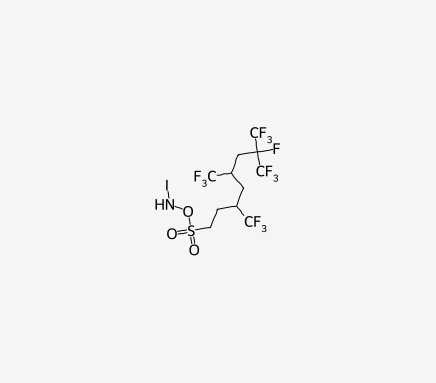 O=S(=O)(CCC(CC(CC(F)(C(F)(F)F)C(F)(F)F)C(F)(F)F)C(F)(F)F)ONI